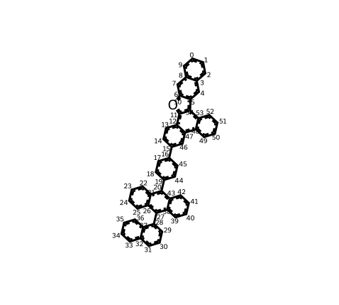 c1ccc2cc3c(cc2c1)oc1c2ccc(-c4ccc(-c5c6ccccc6c(-c6cccc7ccccc67)c6ccccc56)cc4)cc2c2ccccc2c31